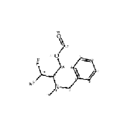 CN(Cc1ccccc1)C(COC=O)C(F)F